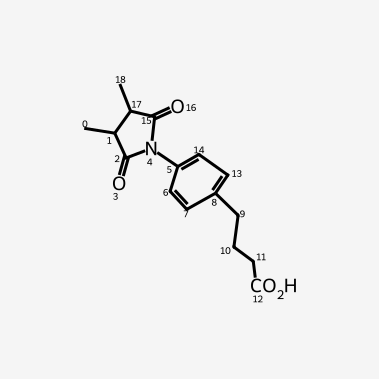 CC1C(=O)N(c2ccc(CCCC(=O)O)cc2)C(=O)C1C